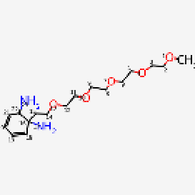 COCCOCCOCCOCCOCCC1(N)C=CC=CC1N